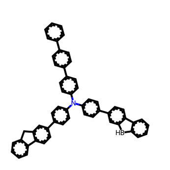 B1c2ccccc2-c2ccc(-c3ccc(N(c4ccc(-c5ccc(-c6ccccc6)cc5)cc4)c4ccc(-c5ccc6c(c5)Cc5ccccc5-6)cc4)cc3)cc21